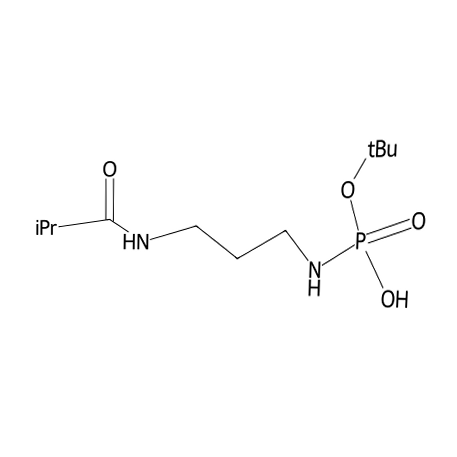 CC(C)C(=O)NCCCNP(=O)(O)OC(C)(C)C